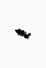 CCOC(=O)C(=O)c1c(F)c(C(=O)Nc2ccc(F)c(C#N)c2)c(C)n1C